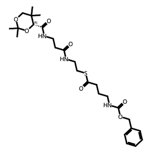 CC1(C)OCC(C)(C)[C@H](C(=O)NCCC(=O)NCCSC(=O)CCCNC(=O)OCc2ccccc2)O1